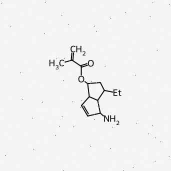 C=C(C)C(=O)OC1CC(CC)C2C(N)C=CC12